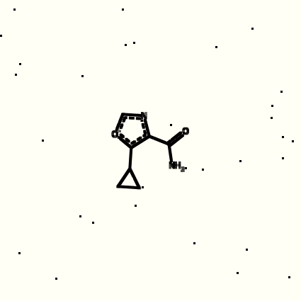 NC(=O)c1ncoc1C1CC1